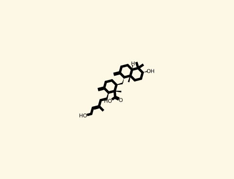 C=C1CC[C@H]2C(C)(C)[C@H](O)CC[C@]2(C)[C@@H]1C[C@@H]1CCC(=C)[C@H](CC/C(C)=C/CO)[C@@]1(C)C(=O)O